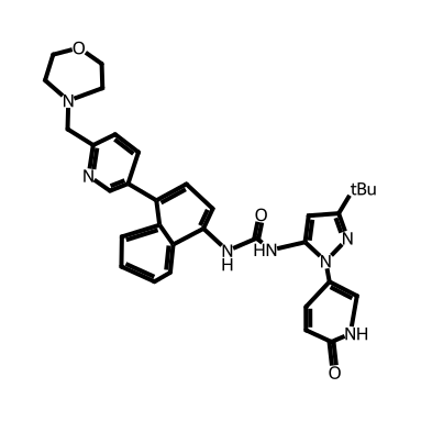 CC(C)(C)c1cc(NC(=O)Nc2ccc(-c3ccc(CN4CCOCC4)nc3)c3ccccc23)n(-c2ccc(=O)[nH]c2)n1